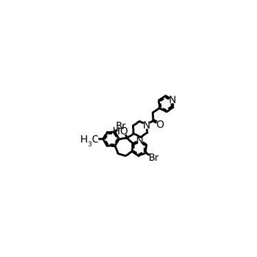 Cc1cc(Br)c2c(c1)CCc1cc(Br)cnc1C2(O)C1CCN(C(=O)Cc2ccncc2)CC1